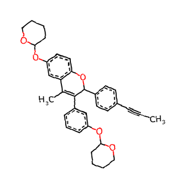 CC#Cc1ccc(C2Oc3ccc(OC4CCCCO4)cc3C(C)=C2c2cccc(OC3CCCCO3)c2)cc1